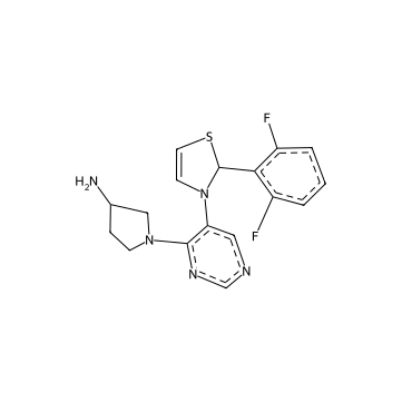 NC1CCN(c2ncncc2N2C=CSC2c2c(F)cccc2F)C1